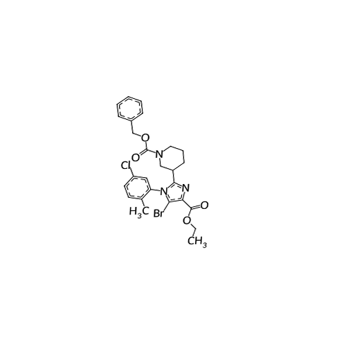 CCOC(=O)c1nc(C2CCCN(C(=O)OCc3ccccc3)C2)n(-c2cc(Cl)ccc2C)c1Br